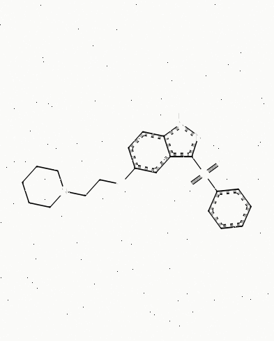 O=S(=O)(c1ccccc1)c1n[nH]c2ccc(OCCN3CCCCC3)cc12